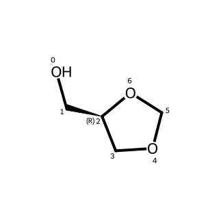 OC[C@@H]1COCO1